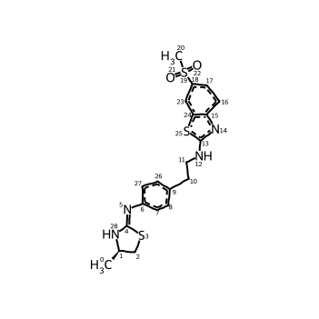 C[C@@H]1CS/C(=N\c2ccc(CCNc3nc4ccc(S(C)(=O)=O)cc4s3)cc2)N1